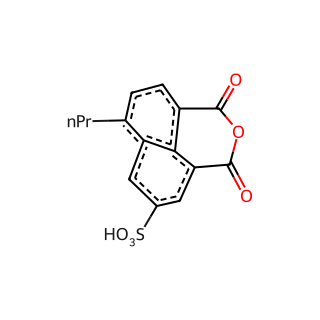 CCCc1ccc2c3c(cc(S(=O)(=O)O)cc13)C(=O)OC2=O